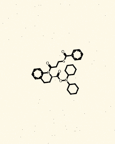 O=C(SCCC(=O)N1c2ccccc2CC[C@@H]1C(=O)ON(C1CCCCC1)C1CCCCC1)c1ccccc1